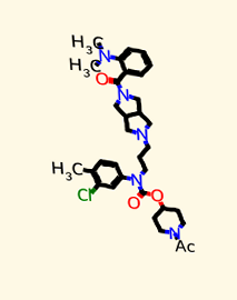 CC(=O)N1CCC(OC(=O)N(CCCN2CC3CN(C(=O)c4ccccc4N(C)C)CC3C2)c2ccc(C)c(Cl)c2)CC1